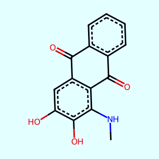 CNc1c(O)c(O)cc2c1C(=O)c1ccccc1C2=O